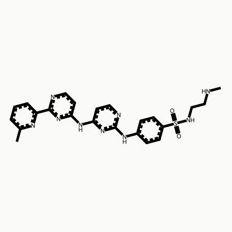 CNCCNS(=O)(=O)c1ccc(Nc2nccc(Nc3ccnc(-c4cccc(C)n4)n3)n2)cc1